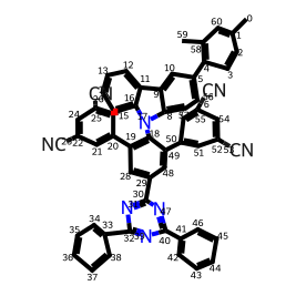 Cc1ccc(-c2ccc3c(c2)c2ccccc2n3-c2c(-c3cc(C#N)cc(C#N)c3)cc(-c3nc(-c4ccccc4)nc(-c4ccccc4)n3)cc2-c2cc(C#N)cc(C#N)c2)c(C)c1